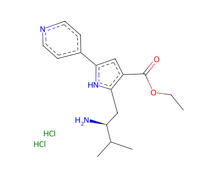 CCOC(=O)c1cc(-c2ccncc2)[nH]c1C[C@H](N)C(C)C.Cl.Cl